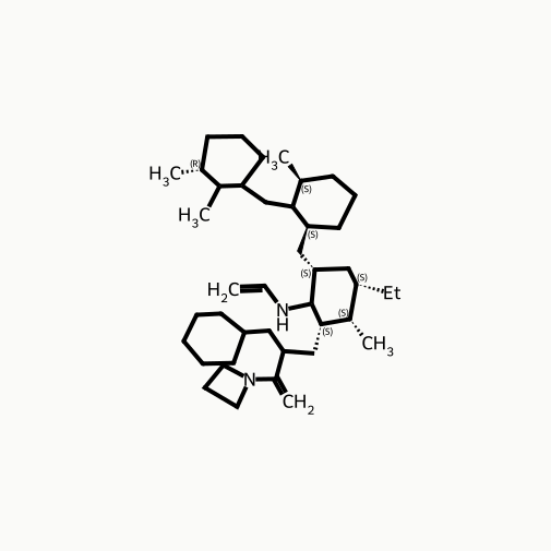 C=CNC1[C@H](C[C@@H]2CCC[C@H](C)C2CC2CCC[C@@H](C)C2C)C[C@H](CC)[C@H](C)[C@@H]1CC(CC1CCCCC1)C(=C)N1CCC1